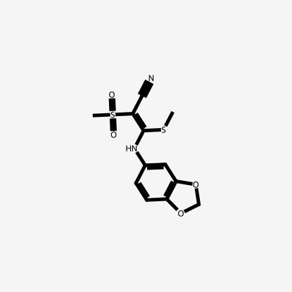 CSC(Nc1ccc2c(c1)OCO2)=C(C#N)S(C)(=O)=O